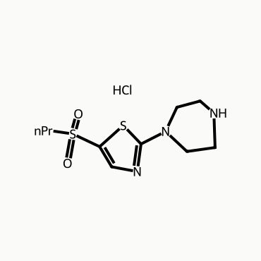 CCCS(=O)(=O)c1cnc(N2CCNCC2)s1.Cl